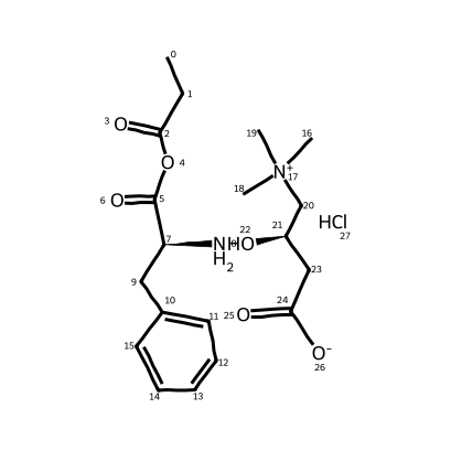 CCC(=O)OC(=O)[C@@H](N)Cc1ccccc1.C[N+](C)(C)C[C@H](O)CC(=O)[O-].Cl